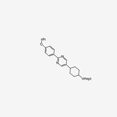 CCCCCCCC1CCC(c2cnc(-c3ccc(OCCC)cc3)nc2)CC1